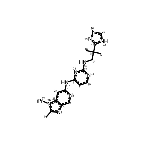 Cc1nc2cnc(Nc3ccnc(NCC(C)(C)c4nnc[nH]4)n3)cc2n1C(C)C